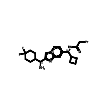 CC(C)CC(=O)N[C@@H](c1cnn2cc([C@@H](N)C3CCC(F)(F)CC3)nc2c1)C1CCC1